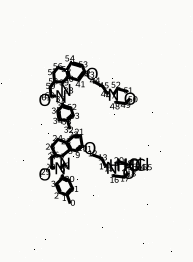 Cc1ccc(N2N=C3c4cc(OCCCN5CCOCC5)ccc4CCC3CC2=O)cc1.Cc1ccc(N2N=C3c4cc(OCCCN5CCOCC5)ccc4CCC3CC2=O)cc1.Cl.Cl.O